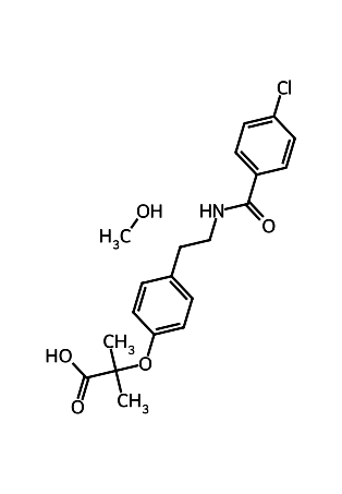 CC(C)(Oc1ccc(CCNC(=O)c2ccc(Cl)cc2)cc1)C(=O)O.CO